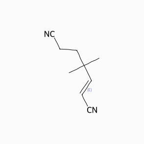 CC(C)(/C=C/C#N)CCC#N